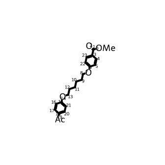 COC(=O)c1ccc(OCCCCCCOc2ccc(C(C)=O)cc2)cc1